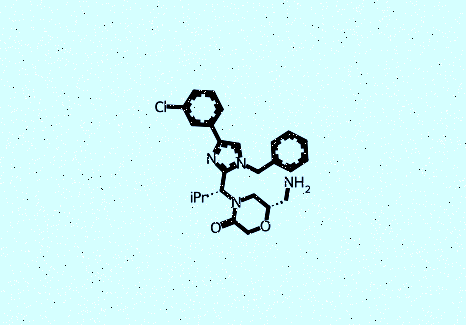 CC(C)[C@H](c1nc(-c2cccc(Cl)c2)cn1Cc1ccccc1)N1C[C@H](CN)OCC1=O